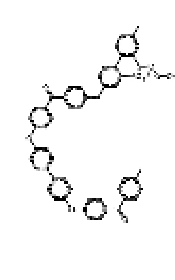 Cc1ccc(C(=O)c2ccc(Oc3ccc(-c4ccc(Oc5ccc(C(=O)c6ccc(Cc7ccc(-c8ccc(C)cc8SOOO)c(S(=O)(=O)O)c7)cc6)cc5)cc4)cc3)cc2)cc1